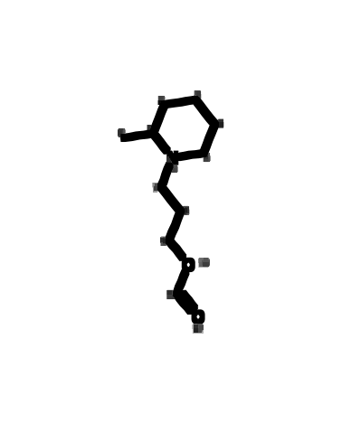 CC1CCCCN1CCCOC=O